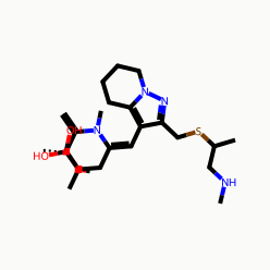 C=C(C(O)OC)N(C)/C(=C\c1c(CSC(C)CNC)nn2c1CCCC2)CC(C)[C@H](C)O